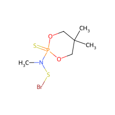 CN(SBr)P1(=S)OCC(C)(C)CO1